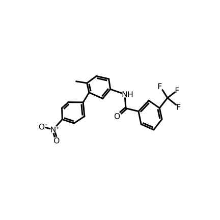 Cc1ccc(NC(=O)c2cccc(C(F)(F)F)c2)cc1-c1ccc([N+](=O)[O-])cc1